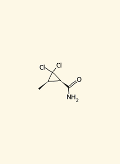 C[C@@H]1[C@H](C(N)=O)C1(Cl)Cl